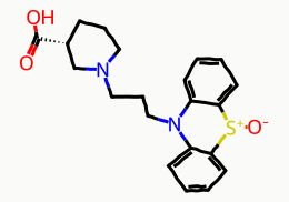 O=C(O)[C@@H]1CCCN(CCCN2c3ccccc3[S+]([O-])c3ccccc32)C1